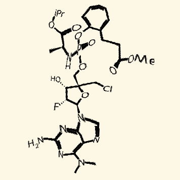 COC(=O)CCc1ccccc1OP(=O)(N[C@@H](C)C(=O)OC(C)C)OC[C@@]1(CCl)O[C@@H](n2cnc3c(N(C)C)nc(N)nc32)[C@H](F)[C@@H]1O